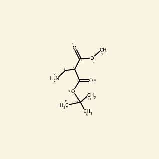 COC(=O)C(CN)C(=O)OC(C)(C)C